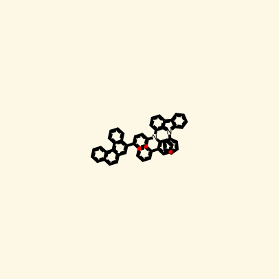 c1ccc(-c2ccccc2N(c2ccc(-c3cc4ccc5ccccc5c4c4ccccc34)cc2)c2cccc3c4ccccc4n(-c4ccccc4)c23)cc1